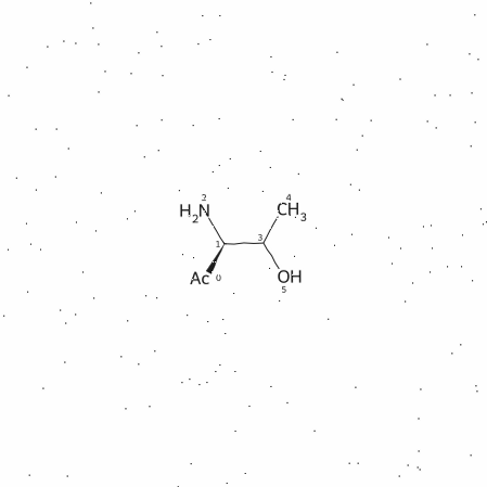 CC(=O)[C@@H](N)C(C)O